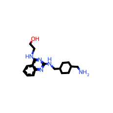 NCC1CCC(CNc2nc(NCCO)c3ccccc3n2)CC1